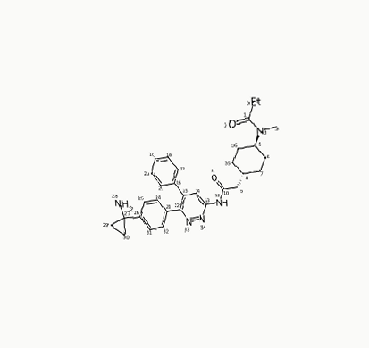 CCC(=O)N(C)[C@H]1CC[C@H](CC(=O)Nc2cc(-c3ccccc3)c(-c3ccc(C4(N)CC4)cc3)nn2)CC1